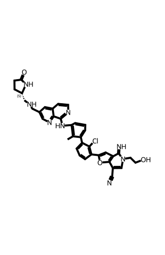 Cc1c(Nc2nccc3cc(CNC[C@@H]4CCC(=O)N4)cnc23)cccc1-c1cccc(-c2cc3c(=N)n(CCO)cc(C#N)c3o2)c1Cl